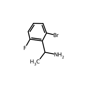 CC(N)c1c(F)cccc1Br